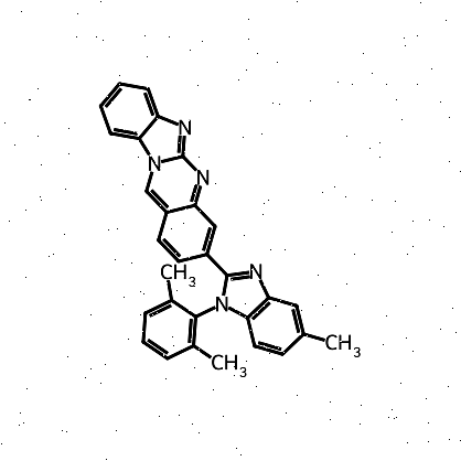 Cc1ccc2c(c1)nc(-c1ccc3cn4c(nc3c1)nc1ccccc14)n2-c1c(C)cccc1C